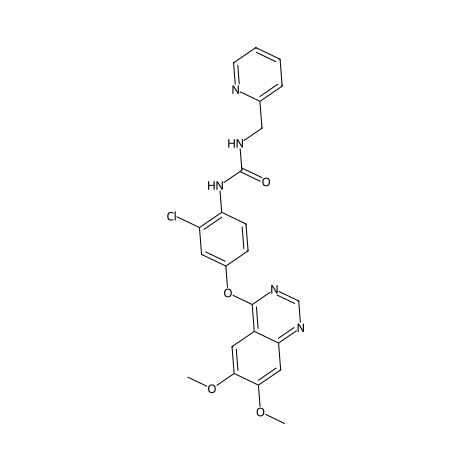 COc1cc2ncnc(Oc3ccc(NC(=O)NCc4ccccn4)c(Cl)c3)c2cc1OC